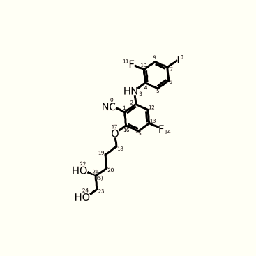 N#Cc1c(Nc2ccc(I)cc2F)cc(F)cc1OCCC[C@H](O)CO